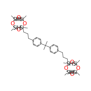 C[SiH]1O[SiH](C)O[Si](C)(CCCc2ccc(C(C)(C)c3ccc(CCC[Si]4(C)O[SiH](C)O[SiH](C)O[SiH](C)O4)cc3)cc2)O[SiH](C)O1